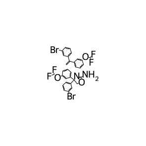 C=C(c1cccc(Br)c1)c1cccc(OC(F)F)c1.NC1=NC(c2cccc(Br)c2)(c2cccc(OC(F)F)c2)CO1